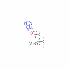 COCC12CCC(C)CC1CCC1C2CCC2(C)C1CC[C@@H]2C(=O)Cn1ncc2nccnc21